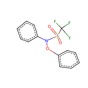 O=S(=O)(N(Oc1ccccc1)c1ccccc1)C(F)(F)F